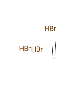 Br.Br.Br.C=C